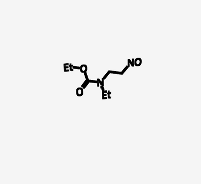 CCOC(=O)N(CC)CCN=O